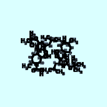 CC(C)C[C@H](NC(=O)OC(C)(C)C)C(=O)N[C@@H]1CC[C@H](C)NC[C@H]1O.CC(C)C[C@H](NC(=O)OC(C)(C)C)C(=O)N[C@H]1CC[C@@H](C)N(C(=O)O)C[C@@H]1O